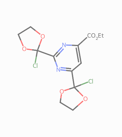 CCOC(=O)c1cc(C2(Cl)OCCO2)nc(C2(Cl)OCCO2)n1